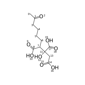 CC(=O)CCCCC(C(=O)O)C(O)(CC(=O)O)C(=O)O